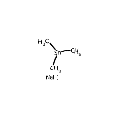 [CH3][Sn]([CH3])[CH3].[NaH]